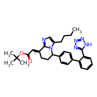 CCCCc1cnc2n1C(c1ccc(-c3ccccc3-c3nnn[nH]3)cc1)CC/C2=C\C(=O)OC(C)(C)C